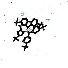 CCC1C=C(C(C)(C)C)C=[C]1[Zr+2](=[C](c1ccc(C(C)(C)C)cc1)c1ccc(C(C)(C)C)cc1)[CH]1c2cc(C(C)(C)C)ccc2-c2ccc(C(C)(C)C)cc21.[Cl-].[Cl-]